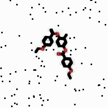 C=C(Oc1ccc(OC(=O)c2ccc(OCC)cc2)cc1C)c1ccc(OCC)cc1